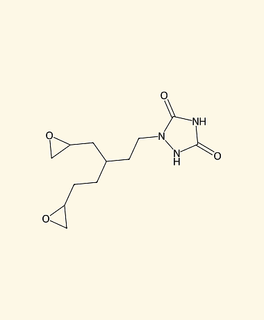 O=c1[nH]c(=O)n(CCC(CCC2CO2)CC2CO2)[nH]1